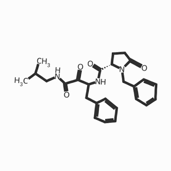 CC(C)CNC(=O)C(=O)C(Cc1ccccc1)NC(=O)[C@@H]1CCC(=O)N1Cc1ccccc1